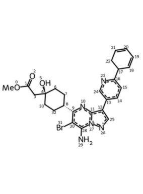 COC(=O)C[C@]1(O)CC[C@H](c2nc3c(-c4ccc(C5C=CC=CC5)nc4)cnn3c(N)c2Br)CC1